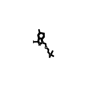 Cc1ccc2c(c1)c(I)nn2COCC[Si](C)(C)C